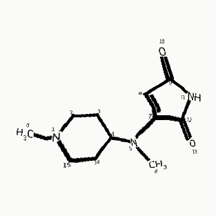 CN1CCC(N(C)C2=CC(=O)NC2=O)CC1